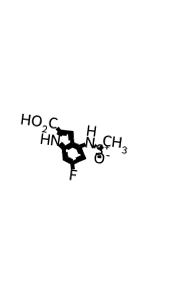 C[S+]([O-])Nc1cc(F)cc2[nH]c(C(=O)O)cc12